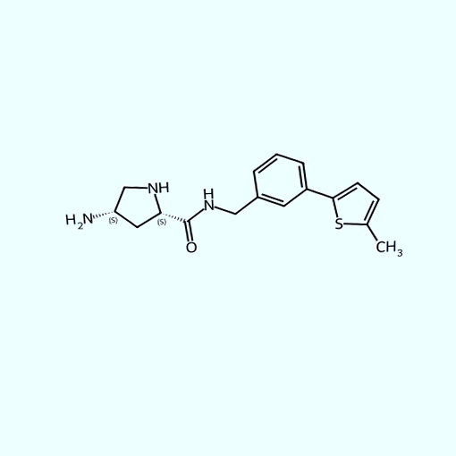 Cc1ccc(-c2cccc(CNC(=O)[C@@H]3C[C@H](N)CN3)c2)s1